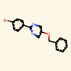 Brc1ccc(-c2ncc(OCc3ccccc3)cn2)cc1